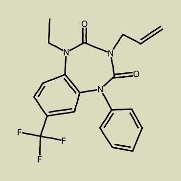 C=CCN1C(=O)N(CC)c2ccc(C(F)(F)F)cc2N(c2ccccc2)C1=O